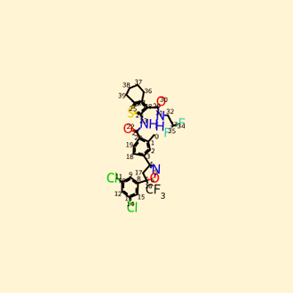 Cc1cc(C2=NOC(c3cc(Cl)cc(Cl)c3)(C(F)(F)F)C2)ccc1C(=O)Nc1sc2c(c1C(=O)NCC(F)F)CCCC2